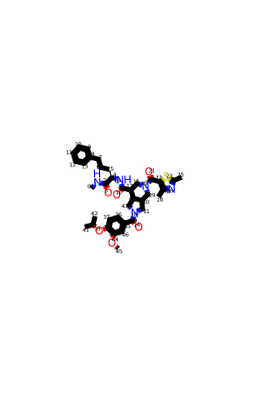 CNC(=O)[C@H](CCCc1ccccc1)NC(=O)C1CN(C(=O)c2sc(C)nc2C)CC2CN(C(=O)c3ccc(OC(C)C)c(OC)c3)CC21